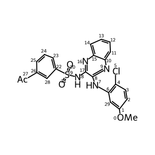 COc1ccc(Cl)c(Nc2nc3ccccc3nc2NS(=O)(=O)c2cccc(C(C)=O)c2)c1